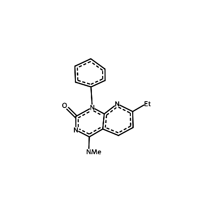 CCc1ccc2c(NC)nc(=O)n(-c3ccccc3)c2n1